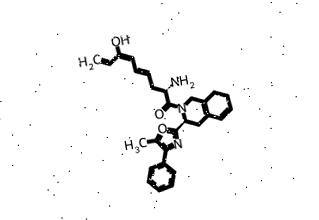 C=C/C(O)=C\C=C\C[C@H](N)C(=O)N1CC2=C(C=CCC2)C[C@H]1c1nc(-c2ccccc2)c(C)o1